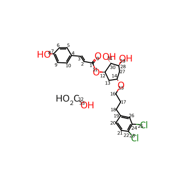 O=C(/C=C/c1ccc(O)cc1)O[C@@H]1C[C@@H](OCCCc2ccc(Cl)c(Cl)c2)C[C@H](O)[C@H]1O.O=C(O)O